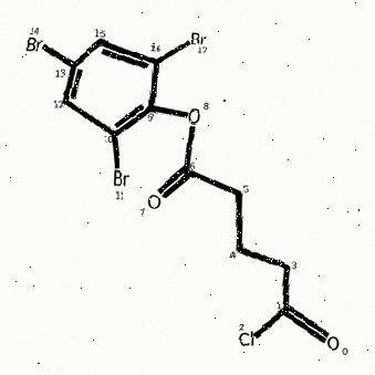 O=C(Cl)CCCC(=O)Oc1c(Br)cc(Br)cc1Br